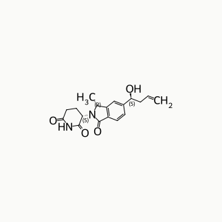 C=CC[C@H](O)c1ccc2c(c1)[C@@H](C)N([C@H]1CCC(=O)NC1=O)C2=O